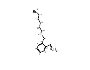 C=Cc1ccccc1COCCCCCBr